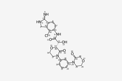 N=C1NCc2c1ccc(NC(=O)C(O)[C@H]1OCCN(c3cccc(N4CCOCC4=O)c3)C1=O)c2Cl